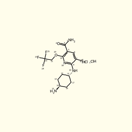 Cl.Cl.NC(=O)c1cc(F)c(N[C@H]2CC[C@H](N)CC2)nc1OCC(F)(F)F